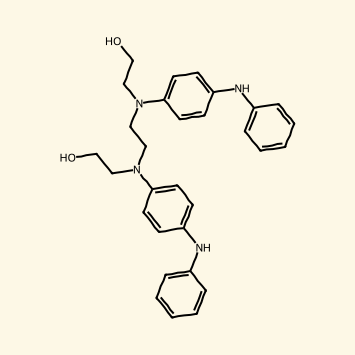 OCCN(CCN(CCO)c1ccc(Nc2ccccc2)cc1)c1ccc(Nc2ccccc2)cc1